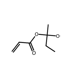 C=CC(=O)OC(C)([O])CC